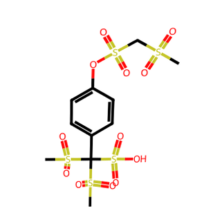 CS(=O)(=O)CS(=O)(=O)Oc1ccc(C(S(C)(=O)=O)(S(C)(=O)=O)S(=O)(=O)O)cc1